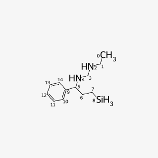 CCNCNC(CC[SiH3])c1ccccc1